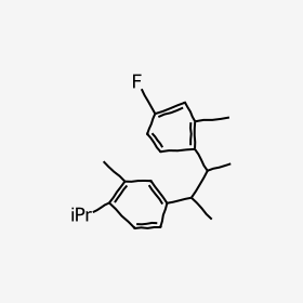 Cc1cc(C(C)C(C)c2ccc(F)cc2C)ccc1C(C)C